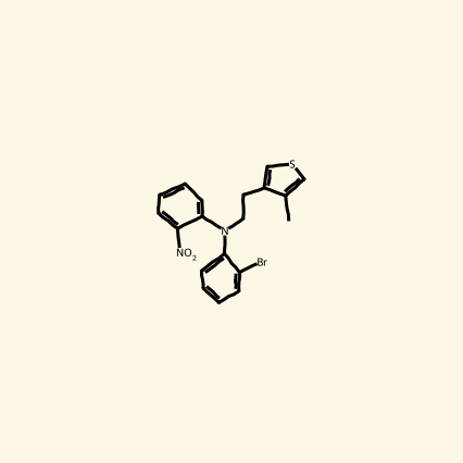 Cc1cscc1CCN(c1ccccc1Br)c1ccccc1[N+](=O)[O-]